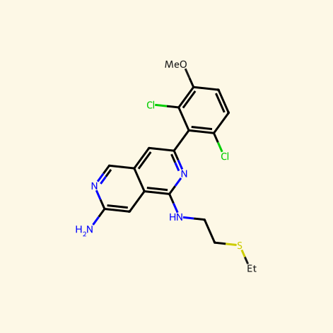 CCSCCNc1nc(-c2c(Cl)ccc(OC)c2Cl)cc2cnc(N)cc12